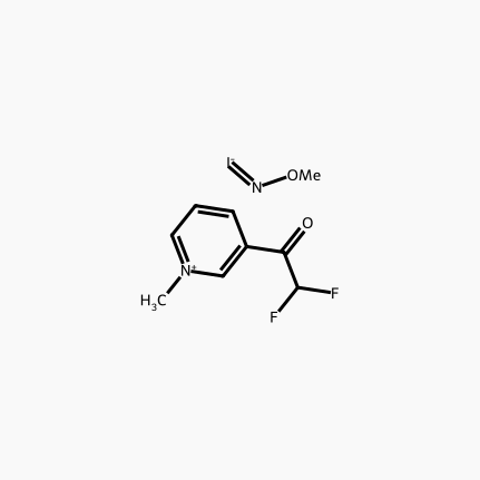 CON=[I-].C[n+]1cccc(C(=O)C(F)F)c1